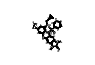 CCCOc1cc(OCC2CC2)cc(Oc2cc3c(cc2NS(=O)(=O)c2cccnc2)n(C)c(=O)n3C)c1